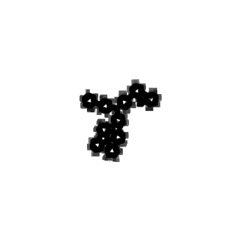 c1ccc(-c2ccc(N(c3ccc(-c4cccc5c4sc4ccccc45)cc3)c3ccc4c(c3)oc3c(C5(c6ccccc6)c6ccccc6-c6ccccc65)cccc34)cc2)cc1